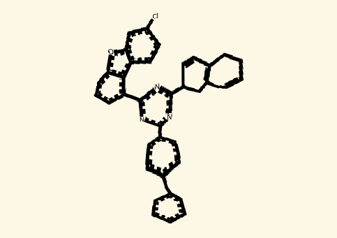 Clc1ccc2c(c1)oc1cccc(-c3nc(-c4ccc(-c5ccccc5)cc4)nc(C4C=CC5=C(C=CCC5)C4)n3)c12